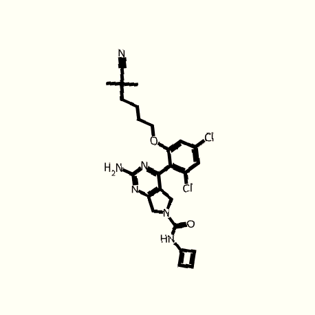 CC(C)(C#N)CCCCOc1cc(Cl)cc(Cl)c1-c1nc(N)nc2c1CN(C(=O)NC1=CC=C1)C2